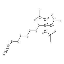 CC(C)O[Si](CCCCCCSC#N)(OC(C)C)OC(C)C